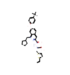 C=Cc1ccc(C[C@H](NC(=O)c2cc3ccc(Oc4ccc(C(C)(C)C)cc4)cc3c(CC3CCCC3)n2)C(=O)O)s1